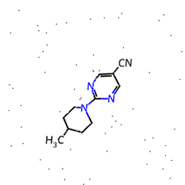 CC1CCN(c2ncc(C#N)cn2)CC1